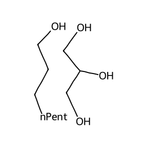 CCCCCCCCO.OCC(O)CO